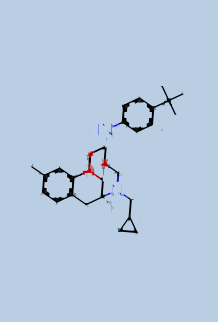 Cc1ccc2c(c1)[C@]13CCN(CC4CC4)[C@H](C2)[C@]12CC[C@@](Nc1ccc(C(C)(C)C)cc1)(CO2)C3